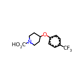 O=C(O)N1CCC(Oc2ccc(C(F)(F)F)cc2)CC1